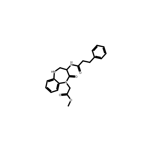 COC(=O)CN1C(=O)C(NC(=O)CCc2ccccc2)CNc2ccccc21